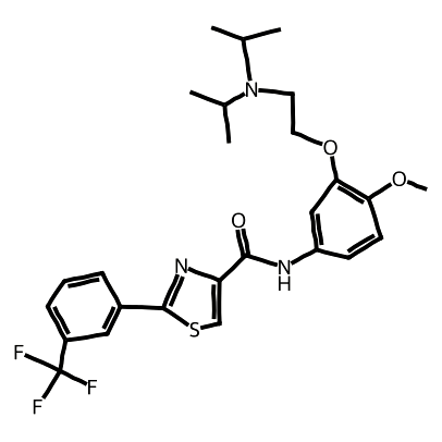 COc1ccc(NC(=O)c2csc(-c3cccc(C(F)(F)F)c3)n2)cc1OCCN(C(C)C)C(C)C